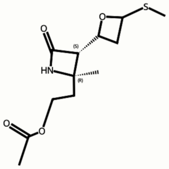 CSC1CC([C@H]2C(=O)N[C@]2(C)CCOC(C)=O)O1